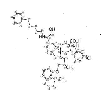 C[C@@H](COc1ccnc2c1[C@H](C)CCC2)C[C@H]1Cc2ccc([C@H](CO)NCCCCCc3ccccc3)cc2C12CCC(Nc1cccc(Cl)c1)(C(=O)O)CC2